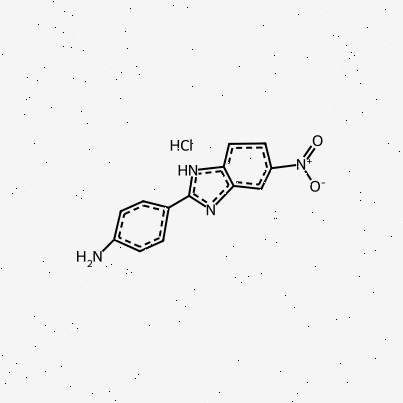 Cl.Nc1ccc(-c2nc3cc([N+](=O)[O-])ccc3[nH]2)cc1